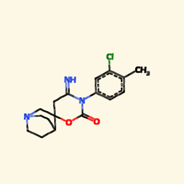 Cc1ccc(N2C(=N)CC3(CN4CCC3CC4)OC2=O)cc1Cl